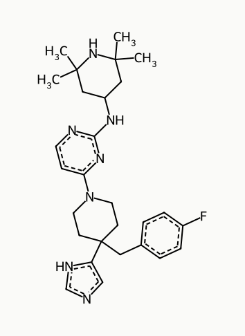 CC1(C)CC(Nc2nccc(N3CCC(Cc4ccc(F)cc4)(c4cnc[nH]4)CC3)n2)CC(C)(C)N1